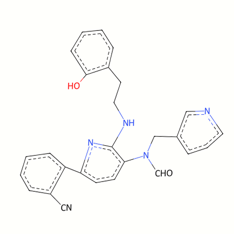 N#Cc1ccccc1-c1ccc(N(C=O)Cc2cccnc2)c(NCCc2ccccc2O)n1